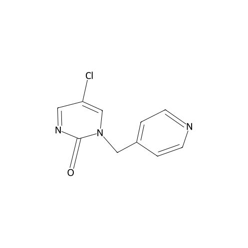 O=c1ncc(Cl)cn1Cc1ccncc1